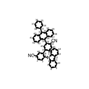 N#Cc1ccc(-n2c3ccccc3c3ccccc32)c(-c2ccc(C#N)c(-c3c4ccccc4c(-c4ccccc4)c4ccccc34)c2)c1